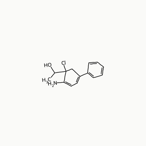 CC(O)C1(Cl)CC(c2ccccc2)=CC=C1N